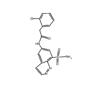 NS(=O)(=O)c1cc(NC(=O)Cc2ccccc2Cl)cc2ccnnc12